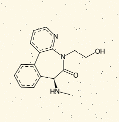 CN[C@@H]1C(=O)N(CCO)c2ncccc2-c2ccccc21